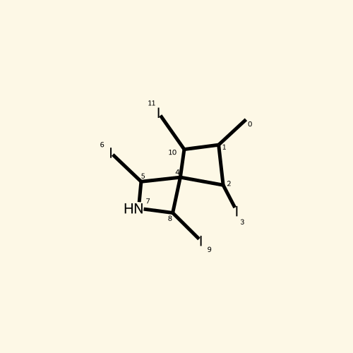 CC1C(I)C2(C(I)NC2I)C1I